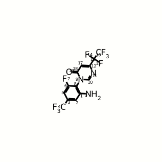 Nc1cc(C(F)(F)F)cc(F)c1-n1cnc(C(F)(F)C(F)(F)F)cc1=O